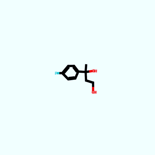 CC(O)(CCO)c1ccc(F)cc1